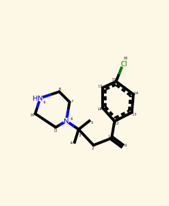 C=C(CC(C)(C)N1CCNCC1)c1ccc(Cl)cc1